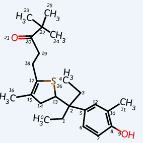 CCC(CC)(c1ccc(O)c(C)c1)C1CC(C)=C(CCC(=O)C(C)(C)C)S1